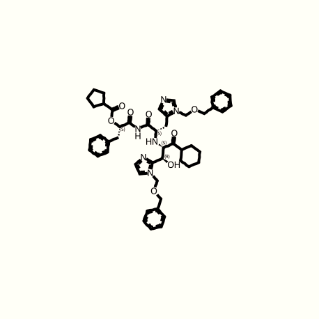 O=C(O[C@@H](Cc1ccccc1)C(=O)NC(=O)[C@H](Cc1cncn1COCc1ccccc1)N[C@H](C(=O)C1CCCCC1)[C@@H](O)c1nccn1COCc1ccccc1)C1CCCC1